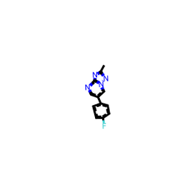 Cc1nc2ncc(-c3ccc(F)cc3)cn2n1